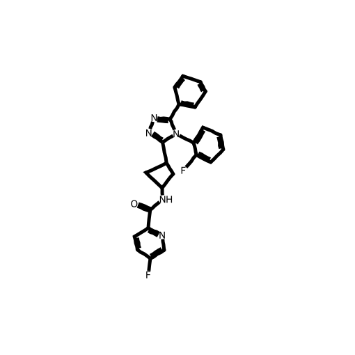 O=C(NC1CC(c2nnc(-c3ccccc3)n2-c2ccccc2F)C1)c1ccc(F)cn1